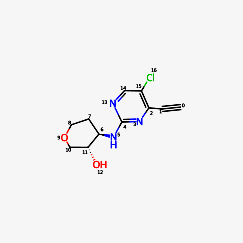 C#Cc1nc(N[C@@H]2CCOC[C@H]2O)ncc1Cl